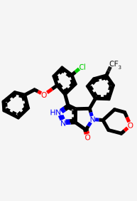 O=C1c2n[nH]c(-c3cc(Cl)ccc3OCc3ccccc3)c2C(c2ccc(C(F)(F)F)cc2)N1C1CCOCC1